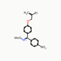 C=C(CC)COc1ccc(/C(=N\OC)c2ccc([N+](=O)[O-])cc2)cc1